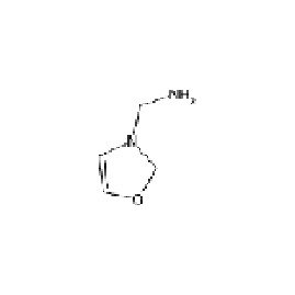 NCN1C=COC1